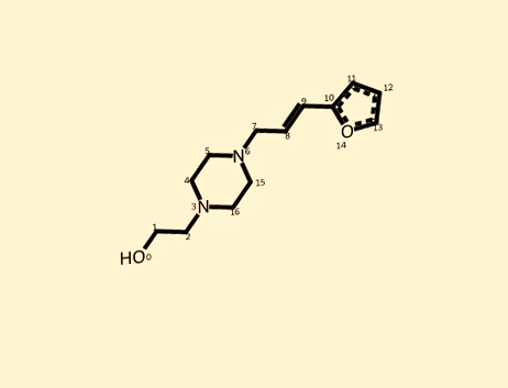 OCCN1CCN(C/C=C/c2ccco2)CC1